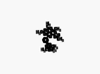 CC(=O)OC[C@H]1O[C@H](c2cccc(B3OC(C)(C)C(C)(C)O3)c2)[C@@H](OC(C)=O)[C@H](OC(C)=O)[C@@H]1OC(C)=O